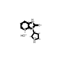 Cl.O=c1[nH]c2cccnc2n1C1CCNC1